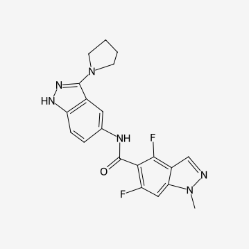 Cn1ncc2c(F)c(C(=O)Nc3ccc4[nH]nc(N5CCCC5)c4c3)c(F)cc21